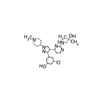 CN1CCC(n2cc(-c3ccnc(NCC(C)(C)O)n3)c(-c3cc(O)cc(Cl)c3)n2)CC1